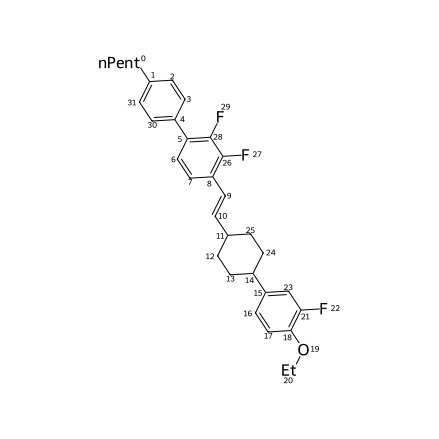 CCCCCc1ccc(-c2ccc(/C=C/C3CCC(c4ccc(OCC)c(F)c4)CC3)c(F)c2F)cc1